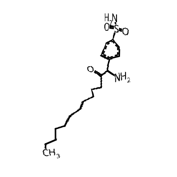 CCCCCCCCCCCC(=O)C(N)c1ccc(S(N)(=O)=O)cc1